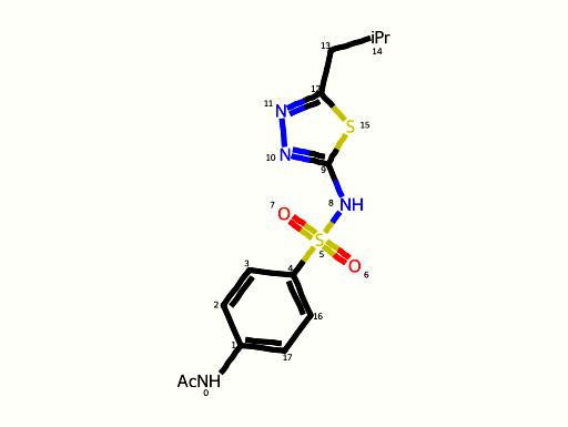 CC(=O)Nc1ccc(S(=O)(=O)Nc2nnc(CC(C)C)s2)cc1